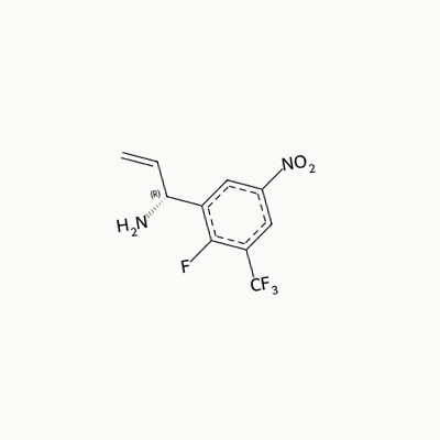 C=C[C@@H](N)c1cc([N+](=O)[O-])cc(C(F)(F)F)c1F